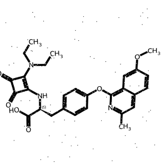 CCN(CC)c1c(N[C@@H](Cc2ccc(Oc3nc(C)cc4ccc(OC)cc34)cc2)C(=O)O)c(=O)c1=O